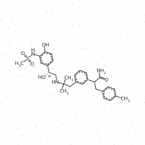 Cc1ccc(CC(C(N)=O)c2cccc(CC(C)(C)NC[C@H](O)c3ccc(O)c(NS(C)(=O)=O)c3)c2)cc1